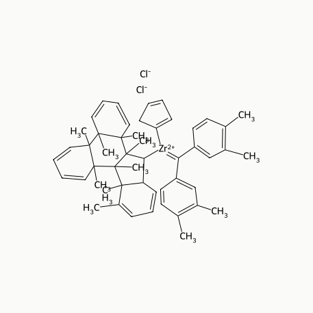 CC1=CC=CC2[CH]([Zr+2]([C]3=CC=CC3)=[C](c3ccc(C)c(C)c3)c3ccc(C)c(C)c3)C3(C)C4(C)C=CC=CC4(C)C4(C)C=CC=CC4(C)C3(C)C12C.[Cl-].[Cl-]